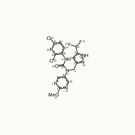 COc1ncc(N(Cc2cc(C(F)F)[nH]n2)C(=O)Nc2ccc(Cl)nc2Cl)cn1